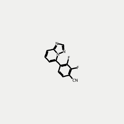 N#Cc1ccc(-c2cccc3ncnn23)c(F)c1F